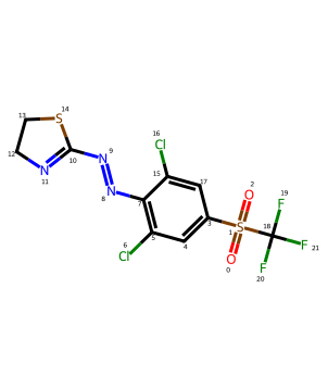 O=S(=O)(c1cc(Cl)c(N=NC2=NCCS2)c(Cl)c1)C(F)(F)F